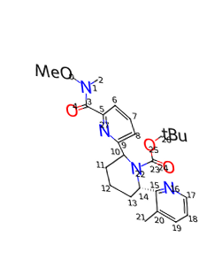 CON(C)C(=O)c1cccc(C2CCC[C@@H](c3ncccc3C)N2C(=O)OC(C)(C)C)n1